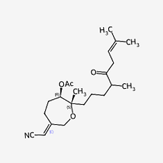 CC(=O)O[C@@H]1CC/C(=C\C#N)CO[C@@]1(C)CCCC(C)C(=O)CC=C(C)C